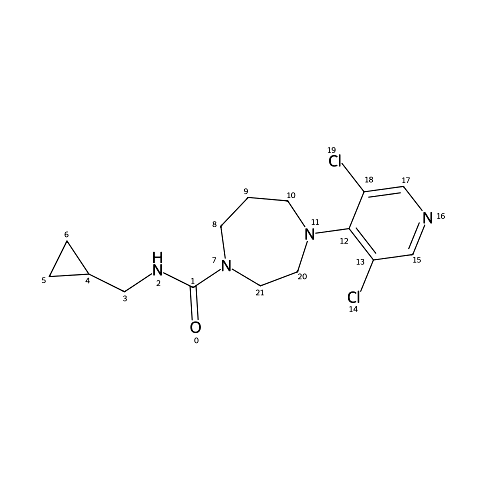 O=C(NCC1CC1)N1CCCN(c2c(Cl)cncc2Cl)CC1